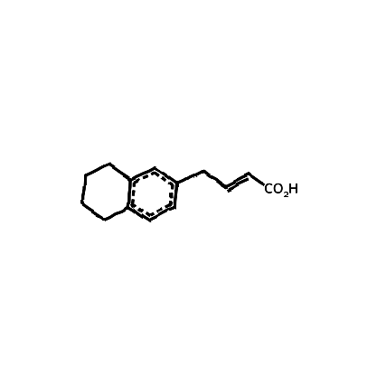 O=C(O)/C=C/Cc1ccc2c(c1)CCCC2